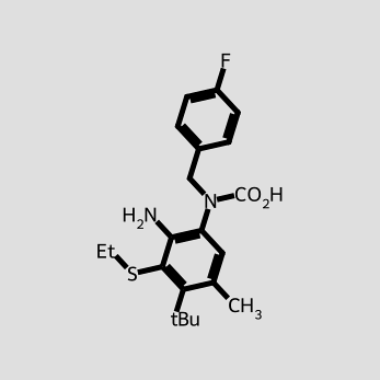 CCSc1c(N)c(N(Cc2ccc(F)cc2)C(=O)O)cc(C)c1C(C)(C)C